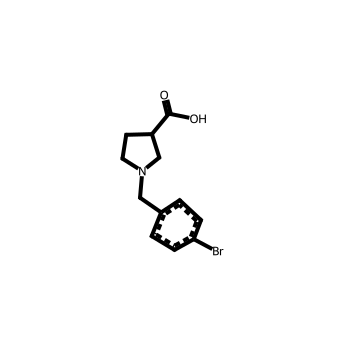 O=C(O)C1CCN(Cc2ccc(Br)cc2)C1